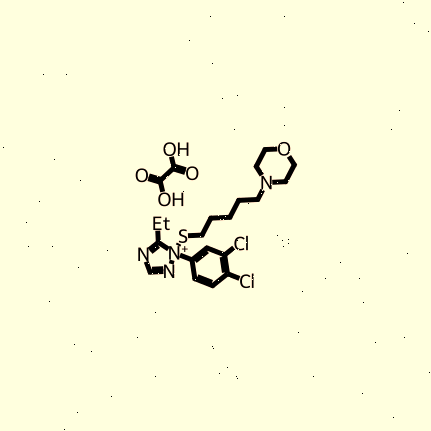 CCC1=NC=N[N+]1(SCCCCCN1CCOCC1)c1ccc(Cl)c(Cl)c1.O=C(O)C(=O)O